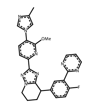 COc1nc(-c2nc3n(n2)CCCC3c2ccc(F)c(-c3ncccn3)c2)ccc1-n1cnc(C)c1